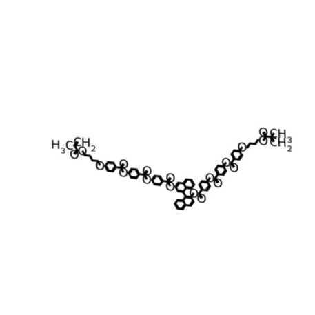 C=C(C)C(=O)OCCCCOc1ccc(C(=O)Oc2ccc(C(=O)Oc3ccc(C(=O)Oc4cc(-c5c(OC(=O)c6ccc(OC(=O)c7ccc(OC(=O)c8ccc(OCCCCOC(=O)C(=C)C)cc8)cc7)cc6)ccc6ccccc56)c5ccccc5c4)cc3)cc2)cc1